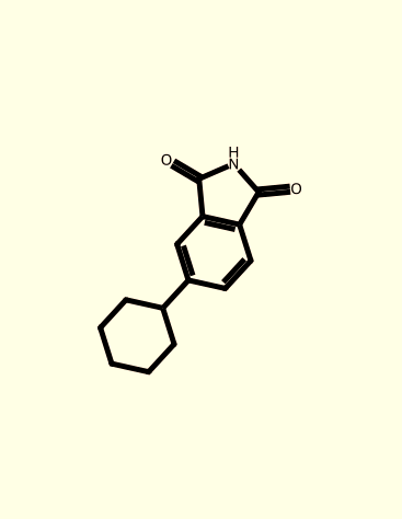 O=C1NC(=O)c2cc(C3CCCCC3)ccc21